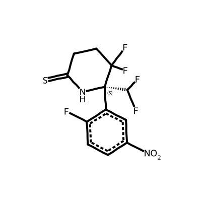 O=[N+]([O-])c1ccc(F)c([C@@]2(C(F)F)NC(=S)CCC2(F)F)c1